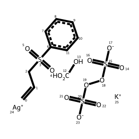 C=CCS(=O)(=O)c1ccccc1.O=C(O)O.O=S(=O)([O-])OOS(=O)(=O)[O-].[Ag+].[K+]